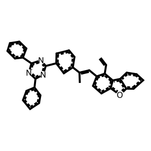 C=Cc1c(/C=C(\C)c2cccc(-c3nc(-c4ccccc4)nc(-c4ccccc4)n3)c2)ccc2oc3ccccc3c12